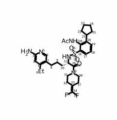 CCc1cc(N)ncc1CCC[C@H](NS(=O)(=O)c1cccc(C2CCCC2)c1NC(C)=O)C(=O)N1CCC(=C(F)F)CC1